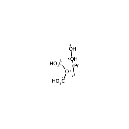 CCCC.O=C(O)OC(=O)O.OO